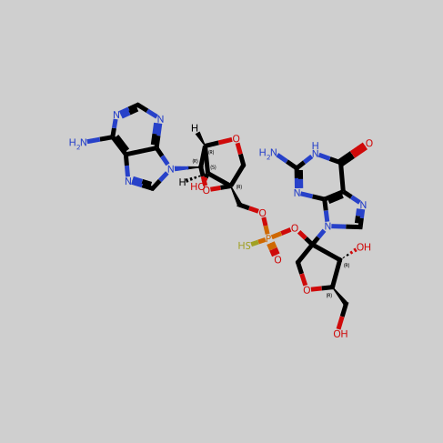 Nc1nc2c(ncn2C2(OP(=O)(S)OC[C@@]34CO[C@@H]([C@H](n5cnc6c(N)ncnc65)O3)[C@@H]4O)CO[C@H](CO)[C@H]2O)c(=O)[nH]1